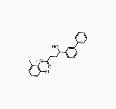 CCc1cccc(C)c1NC(=O)CCC(O)c1cccc(-c2ccccc2)c1